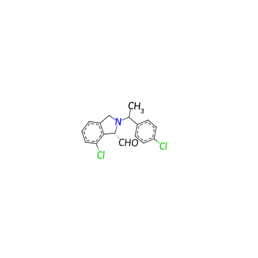 CC(c1ccc(Cl)cc1)N1Cc2cccc(Cl)c2[C@H]1C=O